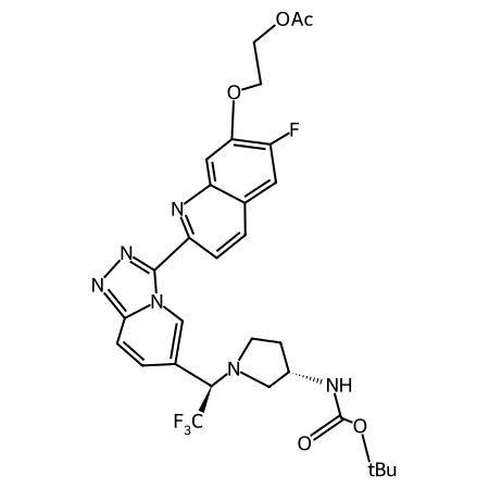 CC(=O)OCCOc1cc2nc(-c3nnc4ccc([C@@H](N5CC[C@H](NC(=O)OC(C)(C)C)C5)C(F)(F)F)cn34)ccc2cc1F